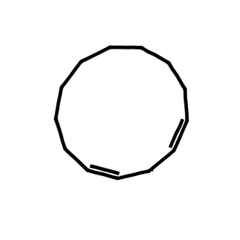 [CH]1C=CCCCCCCCCC=C1